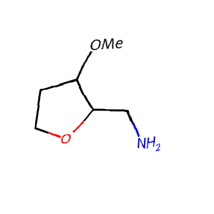 COC1CCOC1CN